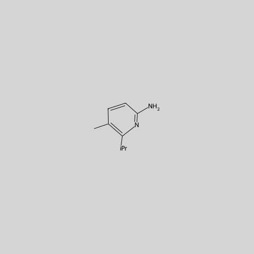 Cc1ccc(N)nc1C(C)C